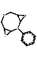 c1ccc(N2C3OC3COCC3OC32)cc1